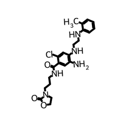 Cc1ccccc1NCCNc1cc(Cl)c(C(=O)NCCCN2CCOC2=O)cc1N